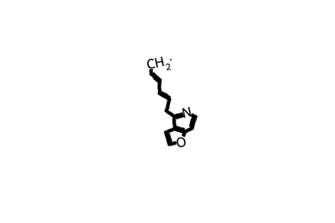 [CH2]C=CC=CCc1nccc2occc12